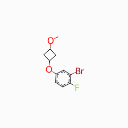 COC1CC(Oc2ccc(F)c(Br)c2)C1